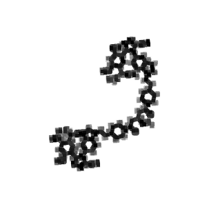 CC(C)c1cc(-c2nnc(O)n2-c2ccc3c(ccn3CCC3CCN(C(=O)CC(N)CC(=O)N4CCC(CCn5ccc6cc(-n7c(O)nnc7-c7cc(C(C)C)c(O)cc7O)ccc65)CC4)CC3)c2)c(O)cc1O